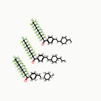 CCC1CCC(CCc2ccc(C(=O)C(F)(F)C(F)(F)C(F)(F)C(F)(F)C(F)(F)C(F)(F)C(F)(F)F)cc2)CC1.CCCC1CCC(CCc2ccc(C(=O)C(F)(F)C(F)(F)C(F)(F)C(F)(F)C(F)(F)C(F)(F)C(F)(F)F)cc2)CC1.C[C@H]1CC[C@H](CCc2ccc(C(=O)C(F)(F)C(F)(F)C(F)(F)C(F)(F)C(F)(F)C(F)(F)C(F)(F)F)cc2)CC1